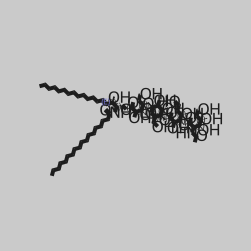 CCCCCCCCCCCCC/C=C/[C@@H](O)[C@H](CO[C@@H]1OC(CO)[C@@H](O[C@@H]2OC(CO)[C@H](O[C@@H]3OC(CO)[C@H](O)[C@H](O[C@@H]4OC(CO)[C@H](O)[C@H](O)C4NC(C)=O)C3O)[C@H](O)C2O)[C@H](O)C1O)NC(=O)CCCCCCCCCCCCCCCCC